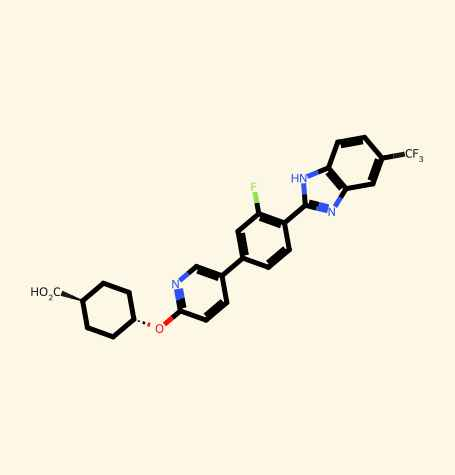 O=C(O)[C@H]1CC[C@H](Oc2ccc(-c3ccc(-c4nc5cc(C(F)(F)F)ccc5[nH]4)c(F)c3)cn2)CC1